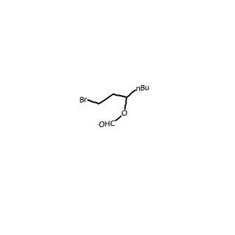 CCCCC(CCBr)O[C]=O